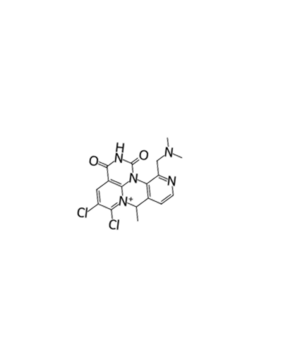 CC1c2ccnc(CN(C)C)c2-n2c(=O)[nH]c(=O)c3cc(Cl)c(Cl)[n+]1c32